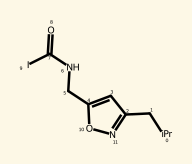 CC(C)Cc1cc(CNC(=O)I)on1